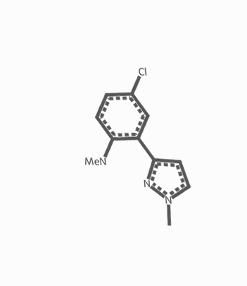 CNc1ccc(Cl)cc1-c1ccn(C)n1